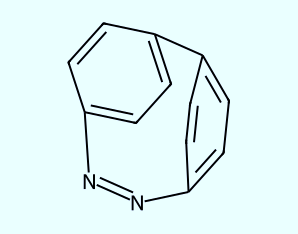 c1cc2ccc1nnc1ccc2cc1